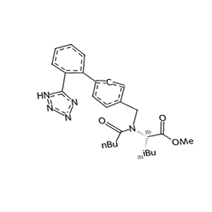 CCCCC(=O)N(Cc1ccc(-c2ccccc2-c2nnn[nH]2)cc1)[C@H](C(=O)OC)[C@@H](C)CC